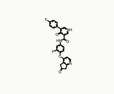 O=C1Cc2nccc(Oc3ccc(NC(=O)c4c[nH]cc(-c5ccc(F)cc5)c4=O)cc3F)c2C1